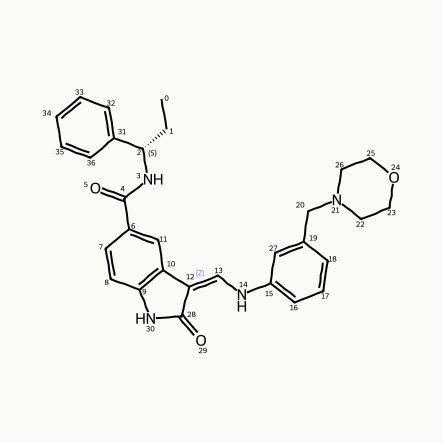 CC[C@H](NC(=O)c1ccc2c(c1)/C(=C/Nc1cccc(CN3CCOCC3)c1)C(=O)N2)c1ccccc1